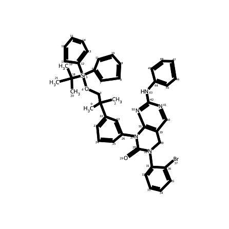 CC(C)(CO[Si](c1ccccc1)(c1ccccc1)C(C)(C)C)c1cccc(N2C(=O)N(c3ccccc3Br)Cc3cnc(Nc4ccccc4)nc32)c1